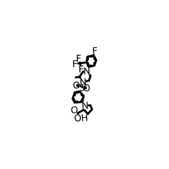 CC1CN(c2ccc(F)cc2C(F)(F)F)CCN1S(=O)(=O)c1cccc(N2CCCC2C(=O)O)c1